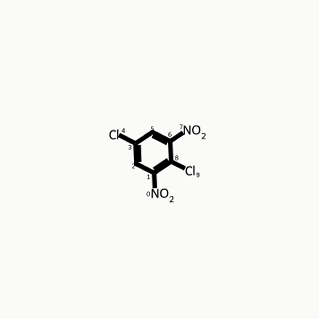 O=[N+]([O-])c1cc(Cl)cc([N+](=O)[O-])c1Cl